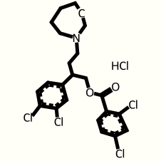 Cl.O=C(OCC(CCN1CCCCCC1)c1ccc(Cl)c(Cl)c1)c1ccc(Cl)cc1Cl